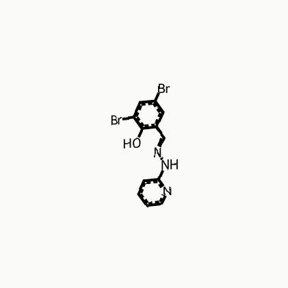 Oc1c(Br)cc(Br)cc1/C=N/Nc1ccccn1